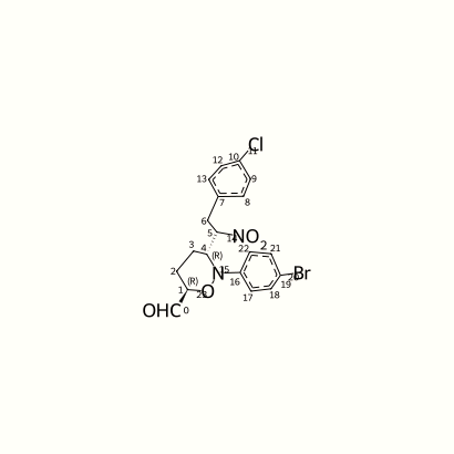 O=C[C@H]1CC[C@H](C(Cc2ccc(Cl)cc2)[N+](=O)[O-])N(c2ccc(Br)cc2)O1